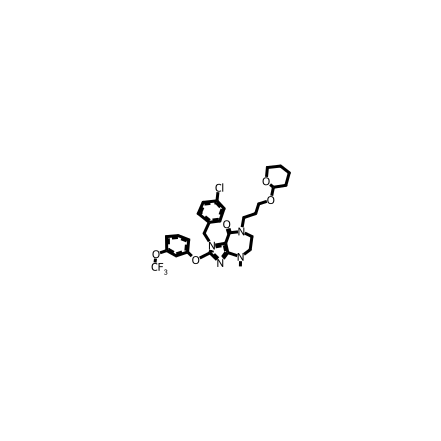 CN1CCN(CCCOC2CCCCO2)C(=O)c2c1nc(Oc1cccc(OC(F)(F)F)c1)n2Cc1ccc(Cl)cc1